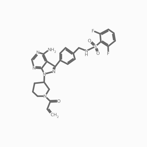 C=CC(=O)N1CCCC(n2nc(-c3ccc(CNS(=O)(=O)c4c(F)cccc4F)cc3)c3c(N)ncnc32)C1